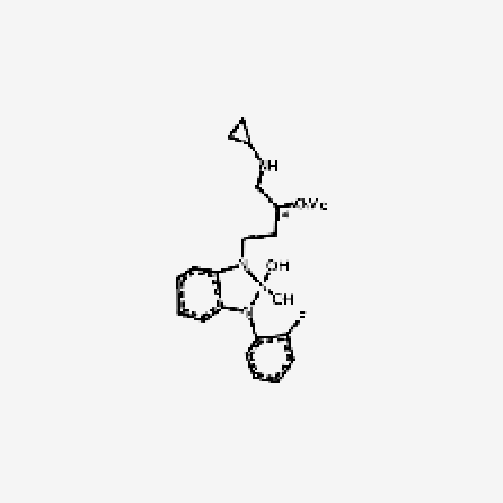 CO[C@@H](CCN1c2ccccc2N(c2ccccc2F)S1(O)O)CNC1CC1